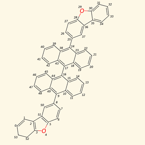 C1=Cc2c(oc3ccc(-c4c5ccccc5c(-c5c6ccccc6c(-c6ccc7oc8ccccc8c7c6)c6ccccc56)c5ccccc45)cc23)CC1